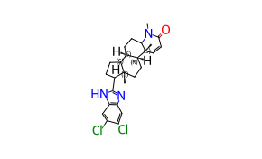 CN1C(=O)C=C[C@@]2(C)C1CC[C@@H]1[C@H]2CC[C@]2(C)C(c3nc4cc(Cl)c(Cl)cc4[nH]3)CC[C@@H]12